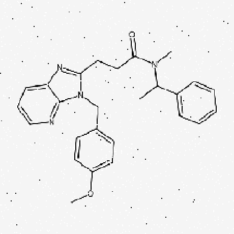 COc1ccc(Cn2c(CCC(=O)N(C)C(C)c3ccccc3)nc3cccnc32)cc1